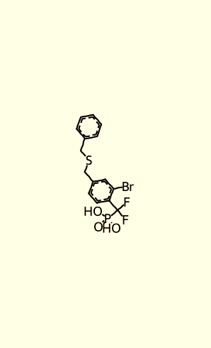 O=P(O)(O)C(F)(F)c1ccc(CSCc2ccccc2)cc1Br